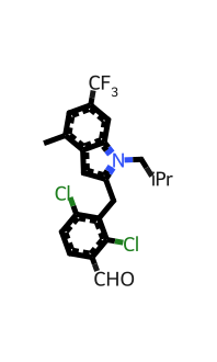 Cc1cc(C(F)(F)F)cc2c1cc(Cc1c(Cl)ccc(C=O)c1Cl)n2CC(C)C